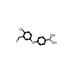 OB(O)c1ccc(Oc2ccc(Cl)c(CF)c2)cc1